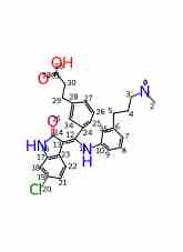 CN(C)CCCc1cccc(NC(=C2C(=O)Nc3cc(Cl)ccc32)c2cccc(CCC(=O)O)c2)c1